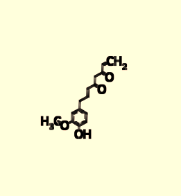 C=CC(=O)CC(=O)C=CCc1ccc(O)c(OC)c1